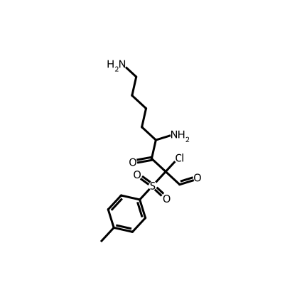 Cc1ccc(S(=O)(=O)C(Cl)(C=O)C(=O)C(N)CCCCN)cc1